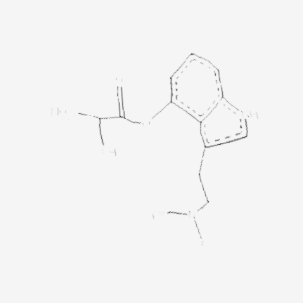 CC(C(=O)O)C(=O)Oc1cccc2[nH]cc(CCN(C(C)C)C(C)C)c12